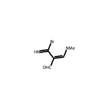 CN/C=C(/C=O)C(=N)Br